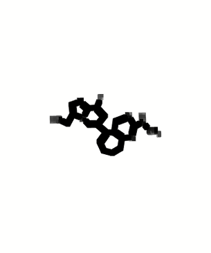 CNc1ncc2c(n1)CCCC=C2c1cc(F)c2ncc(CO)n2c1